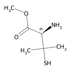 COC(=O)[C@@H](N)C(C)(C)S